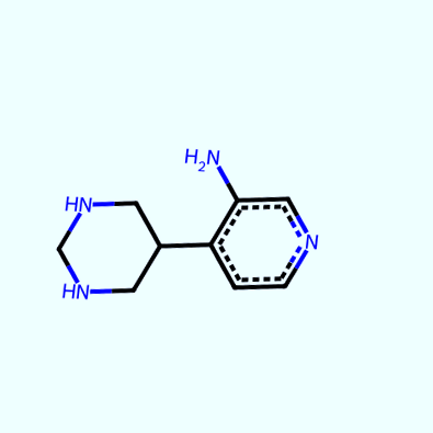 Nc1cnccc1C1CNCNC1